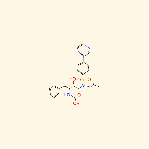 CC(C)CN(C[C@H](O)[C@H](Cc1ccccc1)NC(=O)O)S(=O)(=O)c1ccc(-c2cnccn2)cc1